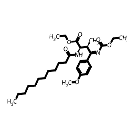 CCCCCCCCCCCC(=O)N[C@@H](C(=O)OCC)[C@@H](C)/C(=N\C(=O)OCC)c1ccc(OC)cc1